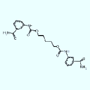 NC(=O)c1cccc(NC(=O)OC=CCCCOC(=O)Nc2cccc(C(N)=O)c2)c1